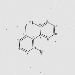 Brc1cccc(I)c1-c1ccccc1I